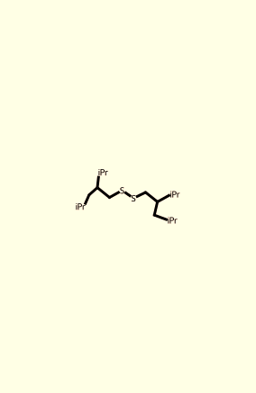 CC(C)CC(CSSCC(CC(C)C)C(C)C)C(C)C